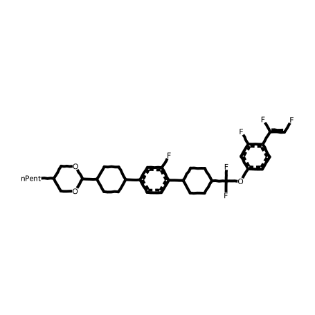 CCCCCC1COC(C2CCC(c3ccc(C4CCC(C(F)(F)Oc5ccc(/C(F)=C/F)c(F)c5)CC4)c(F)c3)CC2)OC1